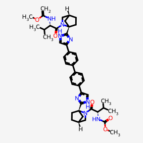 C=C(N[C@H](C(=O)N1C[C@@H]2CC[C@@]1(c1nc(-c3ccc(-c4ccc(-c5c[nH]c([C@@]67CC[C@@H](CN6C(=O)[C@@H](NC(=O)OC)C(C)C)C7)n5)cc4)cc3)c[nH]1)C2)C(C)C)OC